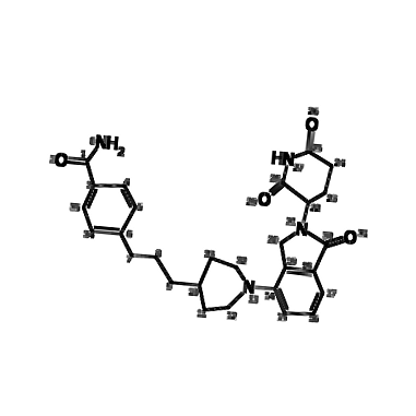 NC(=O)c1ccc(CCCC2CCN(c3cccc4c3CN(C3CCC(=O)NC3=O)C4=O)CC2)cc1